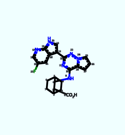 O=C(O)C1C2CCC(CC2)C1Nc1nc(-c2c[nH]c3ncc(F)cc23)nn2cccc12